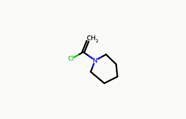 C=C(Cl)N1CCCCC1